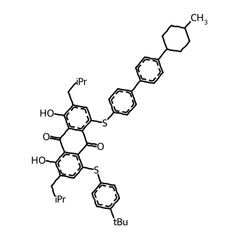 CC(C)Cc1cc(Sc2ccc(-c3ccc(C4CCC(C)CC4)cc3)cc2)c2c(c1O)C(=O)c1c(O)c(CC(C)C)cc(Sc3ccc(C(C)(C)C)cc3)c1C2=O